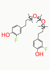 C[Si](C)(CCc1ccc(O)c(F)c1)O[Si](C)(C)O[Si](C)(C)CCc1ccc(O)c(F)c1